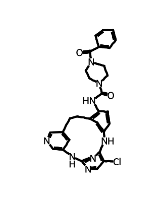 O=C(Nc1ccc2cc1CCc1cncc(c1)Nc1ncc(Cl)c(n1)N2)N1CCN(C(=O)c2ccccc2)CC1